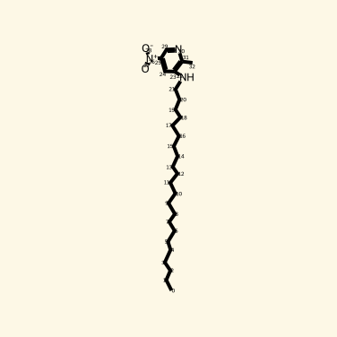 CCCCCCCCCCCCCCCCCCCCCCNc1cc([N+](=O)[O-])cnc1C